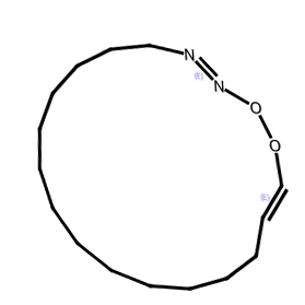 C1=C/OO/N=N/CCCCCCCCCCCCC/1